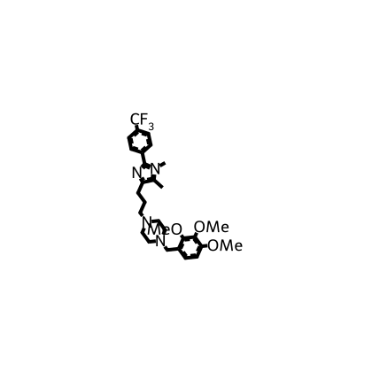 COc1ccc(CN2CCN(CCCc3nc(-c4ccc(C(F)(F)F)cc4)n(C)c3C)CC2)c(OC)c1OC